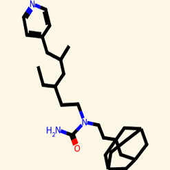 CCC(CCN(CCC12CC3CC(CC(C3)C1)C2)C(N)=O)CC(C)Cc1ccncc1